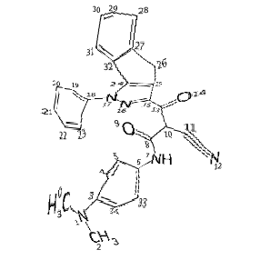 CN(C)c1ccc(NC(=O)C(C#N)C(=O)c2nn(-c3ccccc3)c3c2Cc2ccccc2-3)cc1